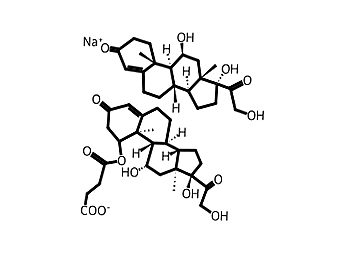 C[C@]12CCC(=O)C=C1CC[C@@H]1[C@@H]2[C@@H](O)C[C@@]2(C)[C@H]1CC[C@]2(O)C(=O)CO.C[C@]12C[C@H](O)[C@H]3[C@@H](CCC4=CC(=O)CC(OC(=O)CCC(=O)[O-])[C@@]43C)[C@@H]1CC[C@]2(O)C(=O)CO.[Na+]